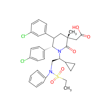 CCS(=O)(=O)N(C[C@H](C1CC1)N1C(=O)[C@@](C)(CC(=O)O)CC(c2cccc(Cl)c2)[C@H]1c1ccc(Cl)cc1)c1ccccc1